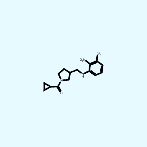 O=C(C1CC1)N1CCC(CNc2cccc(C(F)(F)F)c2[N+](=O)[O-])C1